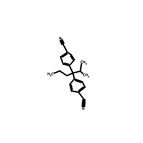 CCCC(c1ccc(C#N)cc1)(c1ccc(C#N)cc1)C(C)C